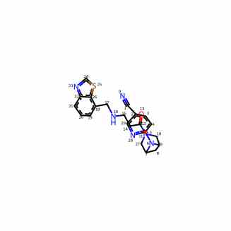 N#Cc1ccc(N2C3CC2CN(C(=O)CCNCc2cccc4ncsc24)C3)nc1